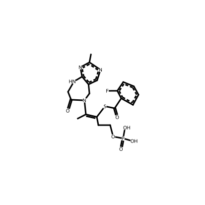 C/C(=C(\CCOP(=O)(O)O)SC(=O)c1ccccc1F)N1Cc2cnc(C)nc2NCC1=O